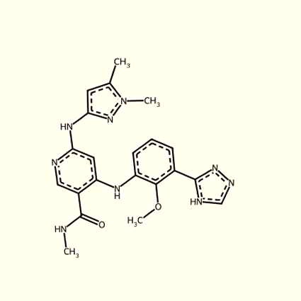 CNC(=O)c1cnc(Nc2cc(C)n(C)n2)cc1Nc1cccc(-c2nnc[nH]2)c1OC